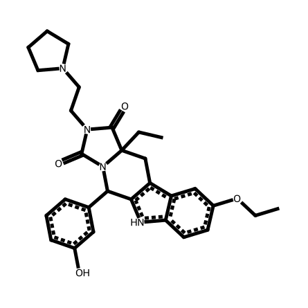 CCOc1ccc2[nH]c3c(c2c1)CC1(CC)C(=O)N(CCN2CCCC2)C(=O)N1C3c1cccc(O)c1